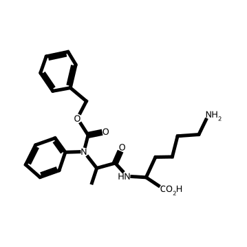 CC(C(=O)NC(CCCCN)C(=O)O)N(C(=O)OCc1ccccc1)c1ccccc1